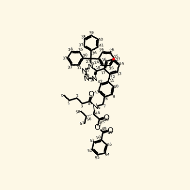 CCCCC(=O)N(Cc1ccc(-c2ccccc2-c2nnnn2C(c2ccccc2)(c2ccccc2)c2ccccc2)cc1)[C@H](C(=O)OC(=O)c1ccccc1)C(C)C